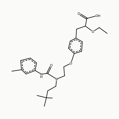 CCOC(Cc1ccc(OCCN(CCC(C)(C)C)C(=O)Nc2cccc(C)c2)cc1)C(=O)O